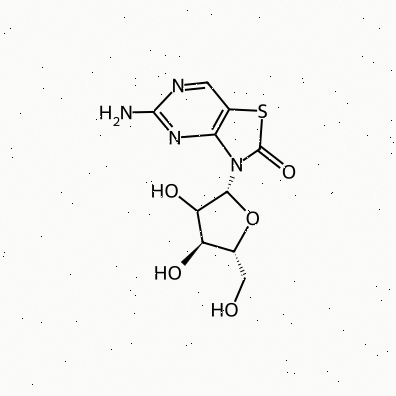 Nc1ncc2sc(=O)n([C@@H]3O[C@H](CO)[C@@H](O)C3O)c2n1